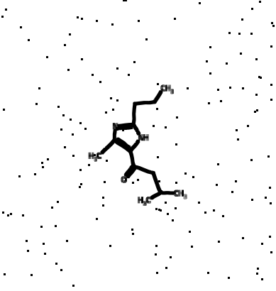 CCCc1nc(C)c(C(=O)CC(C)C)[nH]1